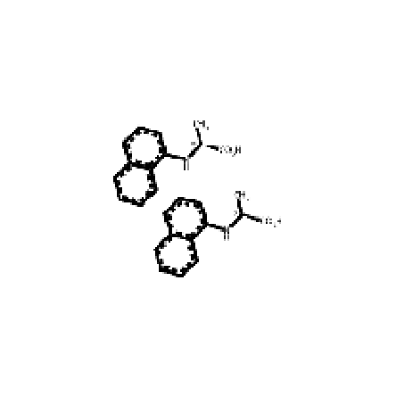 C[C@H](Nc1cccc2ccccc12)C(=O)O.C[C@H](Nc1cccc2ccccc12)C(=O)O